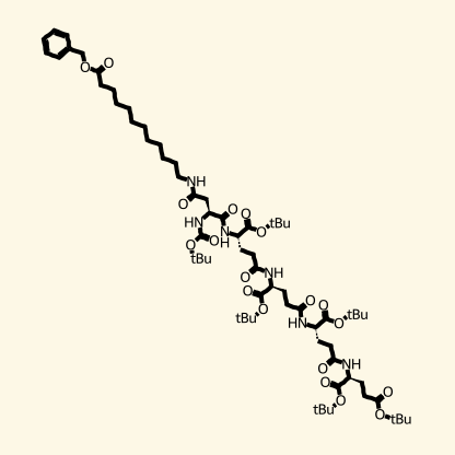 CC(C)(C)OC(=O)CC[C@H](NC(=O)CC[C@H](NC(=O)CC[C@H](NC(=O)CC[C@H](NC(=O)[C@H](CC(=O)NCCCCCCCCCCCC(=O)OCc1ccccc1)NC(=O)OC(C)(C)C)C(=O)OC(C)(C)C)C(=O)OC(C)(C)C)C(=O)OC(C)(C)C)C(=O)OC(C)(C)C